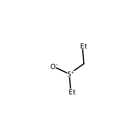 CCC[S+]([O-])CC